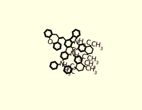 CC1(C)CCC(C)(C)c2cc(N3B4c5cc6c(cc5-n5c7ccccc7c7c(/C=C8/Cc9ccccc9Oc9ccccc98)cc(c4c75)-c4ccc(N(c5ccccc5)c5ccccc5)cc43)C(C)(C)CCC6(C)C)ccc21